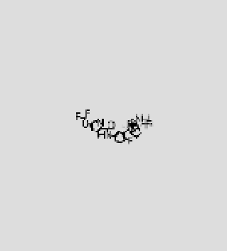 Cc1cc(OC(F)F)cnc1C(=O)Nc1ccc(F)c([C@@]2(C)N=C(N)[C@@]3(CF)CCC2S3(=O)=O)c1